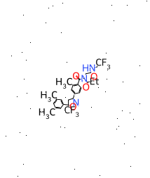 CCC(=O)N(CC(=O)NCC(F)(F)F)C(=O)c1ccc(C2=NOC(c3cc(C)cc(C)c3)(C(F)(F)F)C2)cc1C